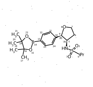 CC(C)S(=O)(=O)N[C@@H]1CCO[C@@H]1c1ccc(B2OC(C)(C)C(C)(C)O2)cc1